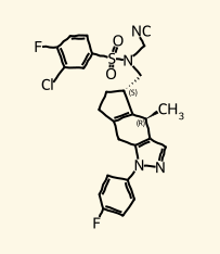 C[C@@H]1C2=C(CC[C@@H]2CN(CC#N)S(=O)(=O)c2ccc(F)c(Cl)c2)Cc2c1cnn2-c1ccc(F)cc1